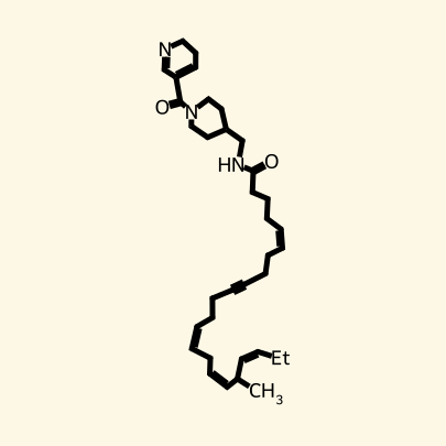 CC/C=C\C(C)/C=C\C/C=C\CCC#CCC/C=C\CCCC(=O)NCC1CCN(C(=O)C2=CCCN=C2)CC1